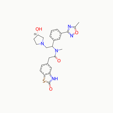 Cc1nc(-c2cccc(C(CN3CC[C@H](O)C3)N(C)C(=O)Cc3ccc4sc(=O)[nH]c4c3)c2)no1